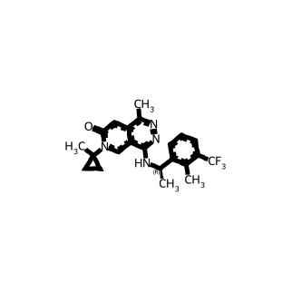 Cc1c([C@@H](C)Nc2nnc(C)c3cc(=O)n(C4(C)CC4)cc23)cccc1C(F)(F)F